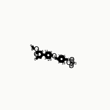 CC=CC(CC(=O)OCC)c1ccc(OCc2ccc(COS(C)(=O)=O)cc2)cc1